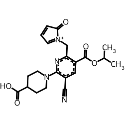 CC(C)OC(=O)c1cc(C#N)c(N2CCC(C(=O)O)CC2)nc1C[N+]1=CC=CC1=O